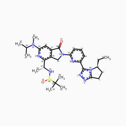 CC[C@H]1CCc2nnc(-c3cccc(N4Cc5c(cc(N(C)C(C)C)nc5[C@@H](C)N[S+]([O-])C(C)(C)C)C4=O)n3)n21